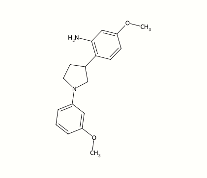 COc1cccc(N2CCC(c3ccc(OC)cc3N)C2)c1